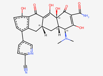 CN(C)[C@@H]1C(O)=C(C(N)=O)C(=O)[C@@]2(O)C(O)=C3C(=O)c4c(O)ccc(-c5ccc(C#N)nc5)c4C[C@H]3C[C@@H]12